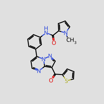 Cn1cccc1C(=O)Nc1cccc(-c2ccnc3c(C(=O)c4cccs4)cnn23)c1